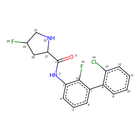 O=C(Nc1cccc(-c2ccccc2Cl)c1F)C1CC(F)CN1